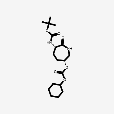 CC(C)(C)OC(=O)N[C@H]1CC[C@@H](OC(=O)OC2CCCCC2)CNC1=O